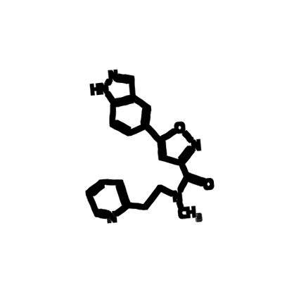 CN(CCc1ccccn1)C(=O)c1cc(-c2ccc3[nH]ncc3c2)on1